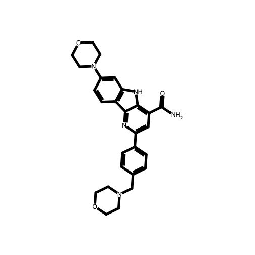 NC(=O)c1cc(-c2ccc(CN3CCOCC3)cc2)nc2c1[nH]c1cc(N3CCOCC3)ccc12